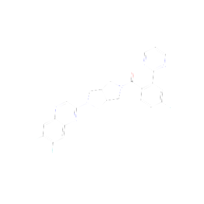 O=C(c1ccc(F)cc1-c1ncccn1)N1CC2CN(c3cnc4cc(F)c(F)cc4n3)CC2C1